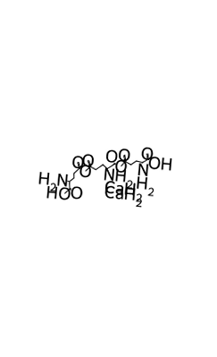 N[C@@H](CCC(=O)OC(=O)CC[C@H](N)C(=O)OC(=O)CC[C@H](N)C(=O)O)C(=O)O.[CaH2].[CaH2]